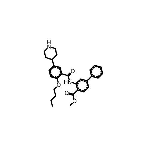 CCCCOc1ccc(C2CCNCC2)cc1C(=O)Nc1cc(-c2ccccc2)ccc1C(=O)OC